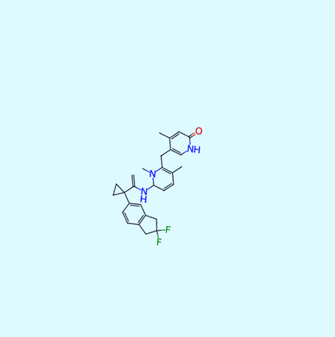 C=C(NC1C=CC(C)=C(Cc2c[nH]c(=O)cc2C)N1C)C1(c2ccc3c(c2)CC(F)(F)C3)CC1